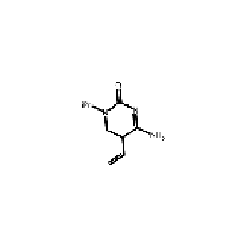 C=CC1CN(C(C)C)C(=O)N=C1N